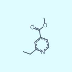 CCc1cc(C(=O)OC)ccn1